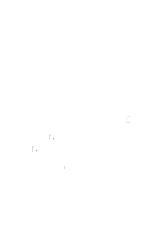 [CH2-][CH+]c1cnc(Cc2ccc(Cc3ccc(Cc4ccc(CC)cc4)cc3)cc2)nc1